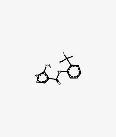 Nc1[nH]ncc1C(=O)Nc1ccccc1C(F)(F)F